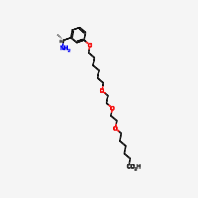 C[C@@H](N)c1cccc(OCCCCCCOCCOCCOCCCCCC(=O)O)c1